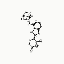 O=C1CCC(N2Cc3cccc(CN4CC5CCC4CN5)c3C2)C(=O)N1